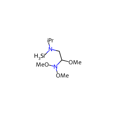 COC(CN([SiH3])C(C)C)N(OC)OC